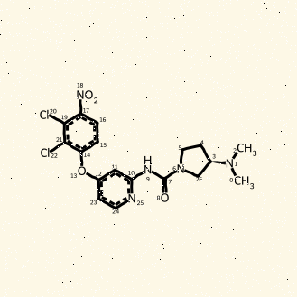 CN(C)[C@@H]1CCN(C(=O)Nc2cc(Oc3ccc([N+](=O)[O-])c(Cl)c3Cl)ccn2)C1